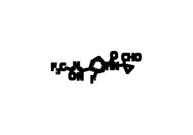 O=CC1(NC(=O)c2ccc(-c3noc(C(F)(F)F)n3)c(F)c2)CC1